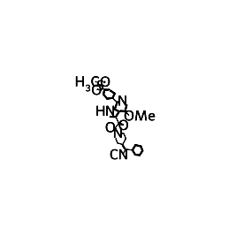 [C-]#[N+]C(=C1CCN(C(=O)C(=O)c2c[nH]c3c(-c4ccc(S(C)(=O)=O)cc4)ncc(OC)c23)CC1)c1ccccc1